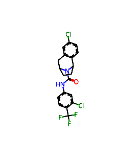 O=C(Nc1ccc(C(F)(F)F)c(Cl)c1)N1C2CCC1c1ccc(Cl)cc1C2